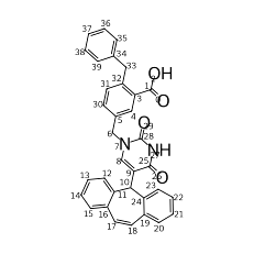 O=C(O)c1cc(Cn2cc(C3c4ccccc4C=Cc4ccccc43)c(=O)[nH]c2=O)ccc1Cc1ccccc1